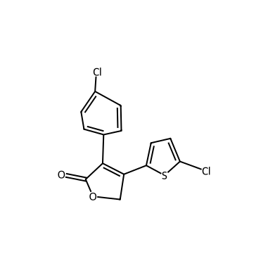 O=C1OCC(c2ccc(Cl)s2)=C1c1ccc(Cl)cc1